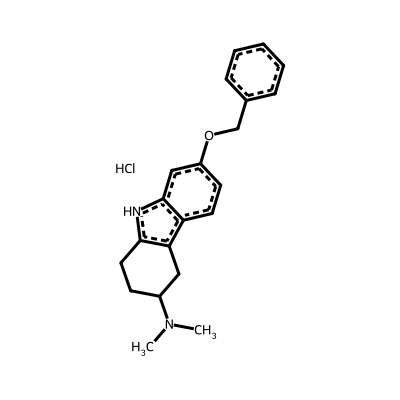 CN(C)C1CCc2[nH]c3cc(OCc4ccccc4)ccc3c2C1.Cl